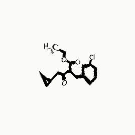 CCOC(=O)C(Cc1cccc(Cl)c1)C(=O)CC1CC1